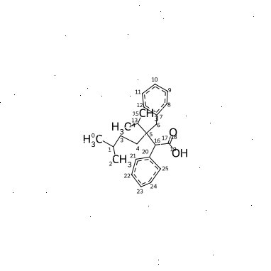 CC(C)CCC(Cc1ccccc1)(C(C)C)C(C(=O)O)c1ccccc1